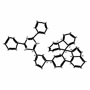 c1ccc(-c2nc(-c3ccccc3)nc(-c3cccc(-c4ccc5c(c4)C4(c6ccccc6-c6ccccc64)c4cccc6cccc-5c46)c3)n2)cc1